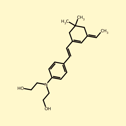 C/C=C1C=C(/C=C/c2ccc(N(CCO)CCO)cc2)CC(C)(C)C/1